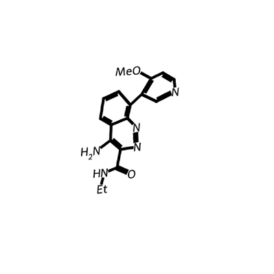 CCNC(=O)c1nnc2c(-c3cnccc3OC)cccc2c1N